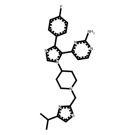 CC(C)c1csc(CN2CCC(n3cnc(-c4ccc(F)cc4)c3-c3ccnc(N)n3)CC2)n1